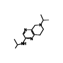 CC(C)Nc1cnc2c(n1)CCN(C(C)C)C2